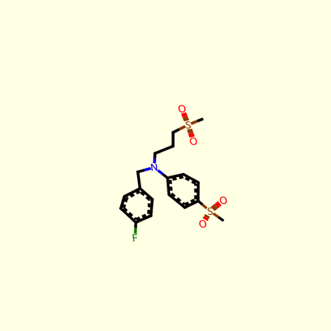 CS(=O)(=O)CCCN(Cc1ccc(F)cc1)c1ccc(S(C)(=O)=O)cc1